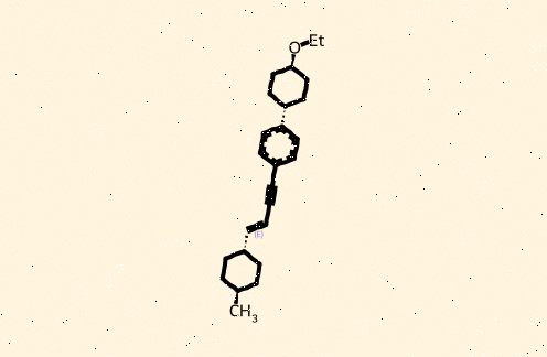 CCO[C@H]1CC[C@H](c2ccc(C#C/C=C/[C@H]3CC[C@H](C)CC3)cc2)CC1